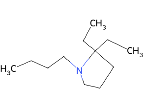 CCCCN1CCCC1(CC)CC